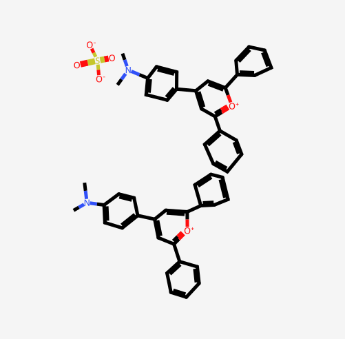 CN(C)c1ccc(-c2cc(-c3ccccc3)[o+]c(-c3ccccc3)c2)cc1.CN(C)c1ccc(-c2cc(-c3ccccc3)[o+]c(-c3ccccc3)c2)cc1.O=S(=O)([O-])[O-]